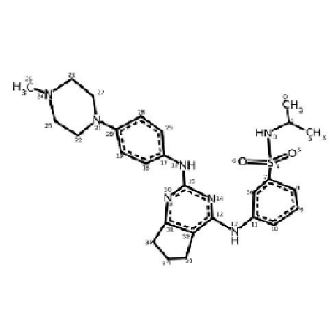 CC(C)NS(=O)(=O)c1cccc(Nc2nc(Nc3ccc(N4CCN(C)CC4)cc3)nc3c2CCC3)c1